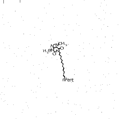 CCCCCC=CCC=CCCCCCCCCn1c(=O)c2c(ncn2C)n(C)c1=O